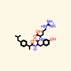 CC(C)Cc1ccc(C(C)C(=O)NC(Cc2ccc(O)cc2)C(=O)NC(CCCNC(=N)N)C(=O)O)cc1